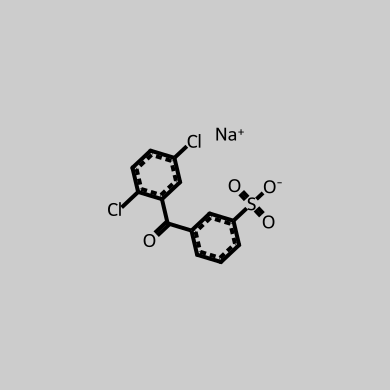 O=C(c1cccc(S(=O)(=O)[O-])c1)c1cc(Cl)ccc1Cl.[Na+]